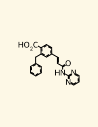 O=C(C=Cc1ccc(C(=O)O)c(Cc2ccccc2)c1)Nc1ncccn1